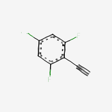 C#Cc1c(F)cc(Cl)cc1F